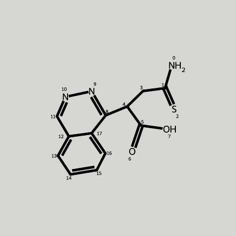 NC(=S)CC(C(=O)O)c1nncc2ccccc12